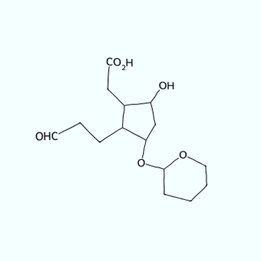 O=CCCC1C(OC2CCCCO2)CC(O)C1CC(=O)O